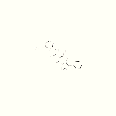 COc1cncc(NC(=O)c2c(C)[nH]c3c(-c4ccccc4)c(C(F)(F)F)nn3c2=O)n1